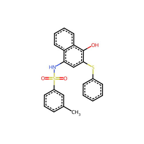 Cc1cccc(S(=O)(=O)Nc2cc(Sc3ccccc3)c(O)c3ccccc23)c1